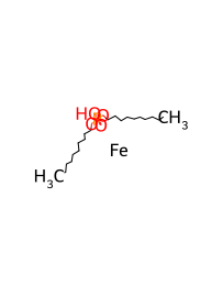 CCCCCCCCCCOP(=O)(O)OCCCCCCCCCC.[Fe]